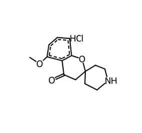 COc1cccc2c1C(=O)CC1(CCNCC1)O2.Cl